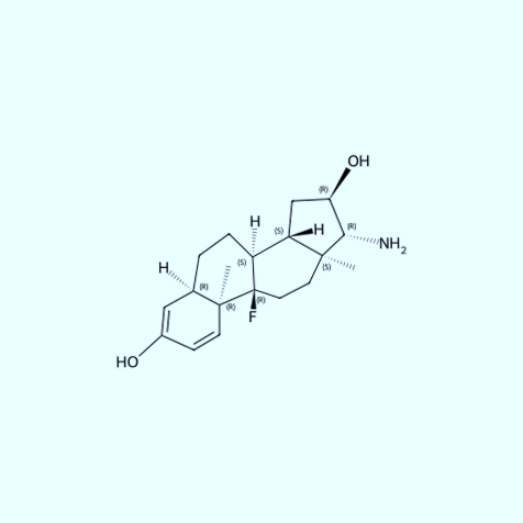 C[C@]12CC[C@@]3(F)[C@@H](CC[C@@H]4C=C(O)C=C[C@@]43C)[C@@H]1C[C@@H](O)[C@@H]2N